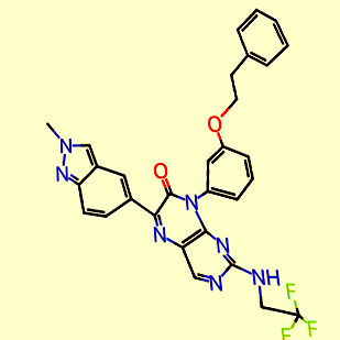 Cn1cc2cc(-c3nc4cnc(NCC(F)(F)F)nc4n(-c4cccc(OCCc5ccccc5)c4)c3=O)ccc2n1